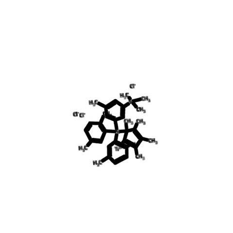 CC1=C(C)C(C)([Si](c2cc(C)cc([Si](C)(C)C)c2)(c2cc(C)ccc2C)c2cc(C)ccc2C)[C]([Ti+3])=C1C.[Cl-].[Cl-].[Cl-]